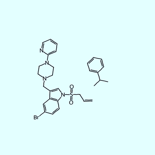 C=CCS(=O)(=O)n1cc(CN2CCN(c3ccccn3)CC2)c2cc(Br)ccc21.CC(C)c1ccccc1